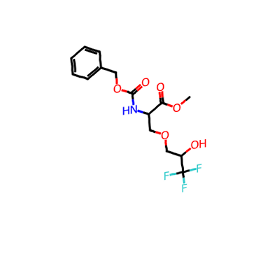 COC(=O)C(COCC(O)C(F)(F)F)NC(=O)OCc1ccccc1